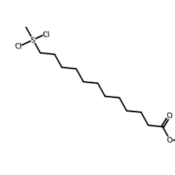 COC(=O)CCCCCCCCCCCS(C)(Cl)Cl